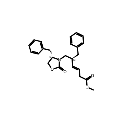 COC(=O)CC=C[C@H](Cc1ccccc1)CN1C(=O)OC[C@@H]1Cc1ccccc1